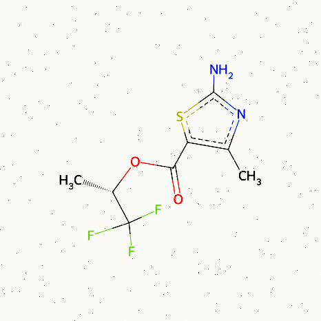 Cc1nc(N)sc1C(=O)O[C@@H](C)C(F)(F)F